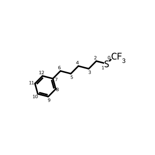 FC(F)(F)SCCCCCc1ccccc1